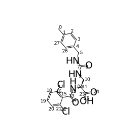 Cc1ccc(CNC(=O)NC[C@H](NC(=O)c2c(Cl)cccc2Cl)C(=O)O)cc1